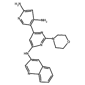 Nc1cc(N)c(-c2cc(Nc3cnc4ccccc4c3)nc(N3CCOCC3)n2)cn1